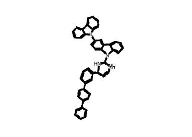 C1=CC(c2cccc(-c3ccc(-c4ccccc4)cc3)c2)NC(n2c3ccccc3c3cc(-n4c5ccccc5c5ccccc54)ccc32)N1